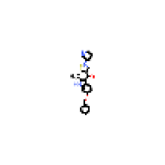 Cc1[nH]c2cc(OCc3ccccc3)ccc2c1C(=O)C1CSN(c2cccnc2)C1